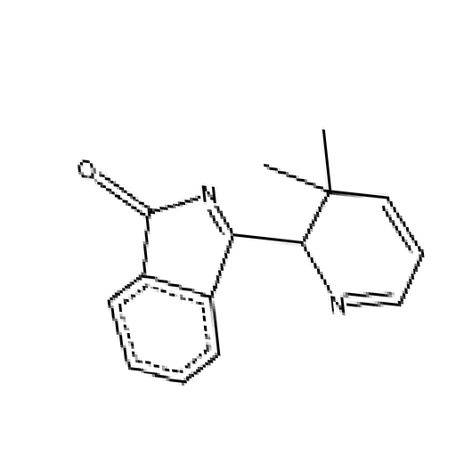 CC1(C)C=CC=NC1C1=NC(=O)c2ccccc21